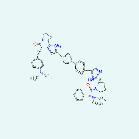 CN(C)c1ccc(/C=C/C(=O)N2CCCC2c2ncc(-c3ccc(-c4ccc(-c5cnc([C@@H]6CCCN6C(=O)[C@@H](c6ccccc6)N(C)C(=O)O)[nH]5)cc4)cc3)[nH]2)cc1